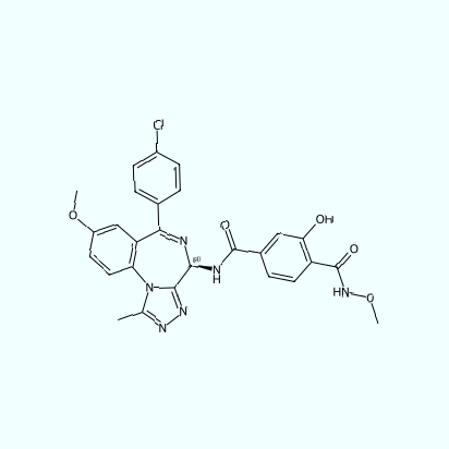 CONC(=O)c1ccc(C(=O)N[C@@H]2N=C(c3ccc(Cl)cc3)c3cc(OC)ccc3-n3c(C)nnc32)cc1O